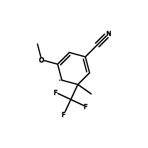 COC1=CC(C#N)=CC(C)(C(F)(F)F)[CH]1